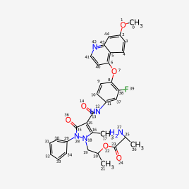 COc1ccc2c(Oc3ccc(NC(=O)c4c(C)n(CC(C)OC(=O)C(C)N)n(-c5ccccc5)c4=O)cc3F)ccnc2c1